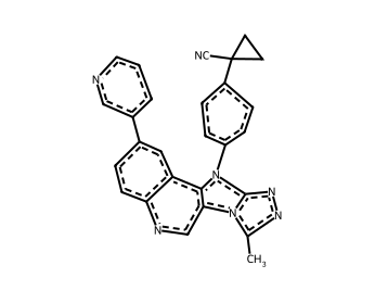 Cc1nnc2n(-c3ccc(C4(C#N)CC4)cc3)c3c4cc(-c5cccnc5)ccc4ncc3n12